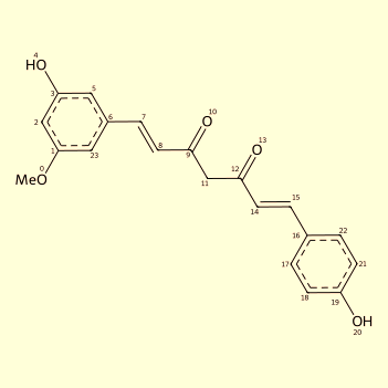 COc1cc(O)cc(C=CC(=O)CC(=O)C=Cc2ccc(O)cc2)c1